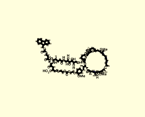 CO[C@H]1C[C@@H]2CC[C@@H](C)[C@@](O)(O2)C(=O)C(=O)N2CCCC[C@H]2C(=O)O[C@H]([C@H](C)C[C@@H]2CC[C@@H](OCCOC(=O)OCCSSC[C@H](CC(=O)[C@H](CNC(=O)CCSC(=O)OCC3c4ccccc4-c4ccccc43)NC(=O)[C@@H](C)CCC(=O)NC[C@H](O)[C@@H](O)[C@H](O)[C@H](O)CO)C(=O)O)[C@H](OC)C2)CC(=O)[C@H](C)/C=C(\C)[C@@H](O)[C@@H](OC)C(=O)[C@H](C)C[C@H](C)/C=C/C=C/C=C/1C